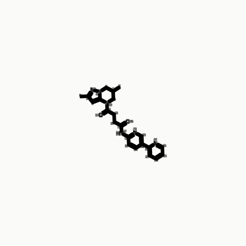 Cc1cc2n(n1)CC(C)CN2C(=O)CCC(=O)Nc1ccc(-c2ccccn2)cn1